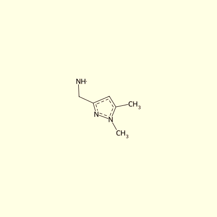 Cc1cc(C[NH])nn1C